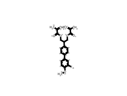 C=C(C)C(=O)OCC(COC(=O)C(=C)C)c1ccc(-c2ccc(OC)c(F)c2)cc1